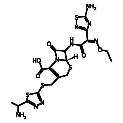 CCO/N=C(\C(=O)NC1C(=O)N2C(C(=O)O)=C(CSc3nnc(C(C)N)s3)CS[C@H]12)c1nsc(N)n1